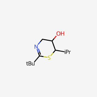 CC(C)C1SC(C(C)(C)C)=NCC1O